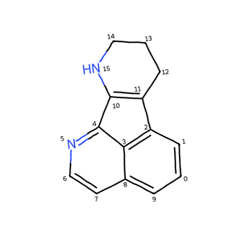 c1cc2c3c(nccc3c1)C1=C2CCCN1